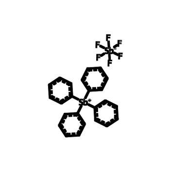 [F][Sb-]([F])([F])([F])([F])[F].c1cc[c]([Sb+]([c]2ccccc2)([c]2ccccc2)[c]2ccccc2)cc1